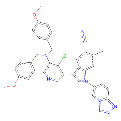 COc1ccc(CN(Cc2ccc(OC)cc2)c2cncc(-c3cn(-c4ccc5nncn5c4)c4cc(C)c(C#N)cc34)c2Cl)cc1